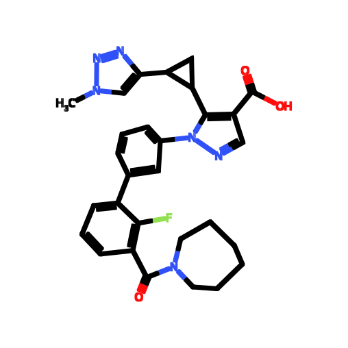 Cn1cc(C2CC2c2c(C(=O)O)cnn2-c2cccc(-c3cccc(C(=O)N4CCCCCC4)c3F)c2)nn1